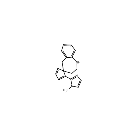 Cn1ccnc1C1=CC=CC12CCNc1ccccc1C2